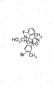 [CH2]C(NC(=O)O)(c1ccccc1F)c1c(C)noc1-c1ccc(Br)c(C)c1